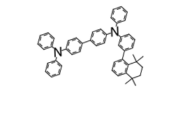 CC1(C)CCC(C)(C)c2c(-c3cccc(N(c4ccccc4)c4ccc(-c5ccc(N(c6ccccc6)c6ccccc6)cc5)cc4)c3)cccc21